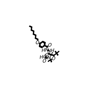 CCCCCCCCOc1ccc(C(=O)NNC(=O)[C@]2(C)C(C(C)(C)C)OC(C)(C)N2C(=O)O)cc1